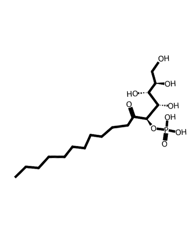 CCCCCCCCCCCC(=O)[C@H](OP(=O)(O)O)[C@@H](O)[C@H](O)[C@H](O)CO